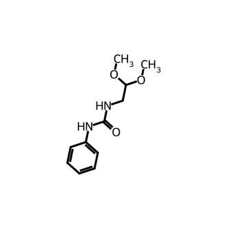 COC(CNC(=O)Nc1ccccc1)OC